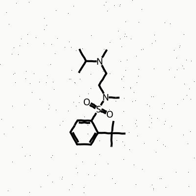 CC(C)N(C)CCN(C)S(=O)(=O)c1ccccc1C(C)(C)C